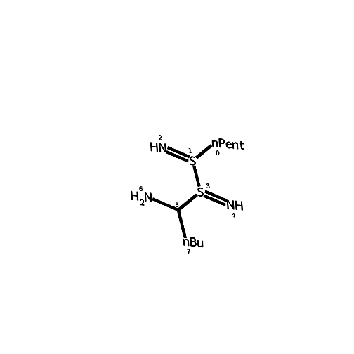 CCCCCS(=N)S(=N)C(N)CCCC